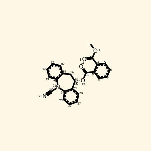 COC(=O)c1ccccc1C(=O)O[C@H]1Cc2ccccc2N(C#N)c2ccccc21